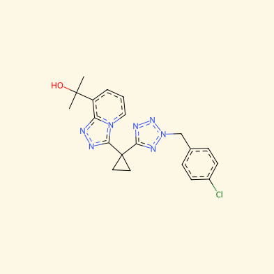 CC(C)(O)c1cccn2c(C3(c4nnn(Cc5ccc(Cl)cc5)n4)CC3)nnc12